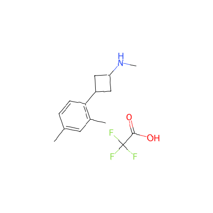 CNC1CC(c2ccc(C)cc2C)C1.O=C(O)C(F)(F)F